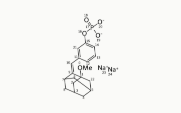 COC12CC3CC(CC(C3)C1=Cc1cccc(OP(=O)([O-])[O-])c1)C2.[Na+].[Na+]